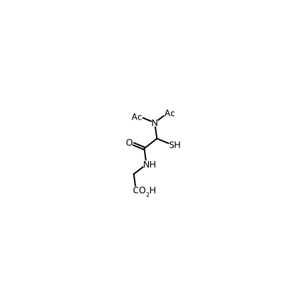 CC(=O)N(C(C)=O)C(S)C(=O)NCC(=O)O